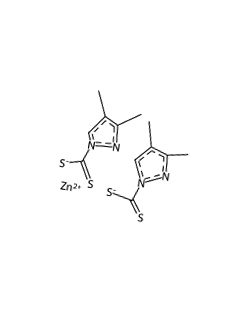 Cc1cn(C(=S)[S-])nc1C.Cc1cn(C(=S)[S-])nc1C.[Zn+2]